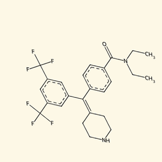 CCN(CC)C(=O)c1ccc(C(=C2CCNCC2)c2cc(C(F)(F)F)cc(C(F)(F)F)c2)cc1